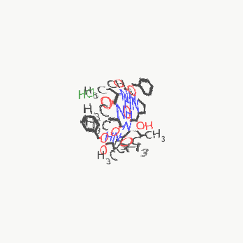 CC(C)C[C@H](C(=O)NC(C(=O)OCc1ccccc1)C(C)C)N(C(=O)C(O)C1CCCN1)C(=O)C(NC(=O)C(NC(=O)OCc1ccccc1)C(C)C)C(C)C.Cl